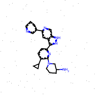 NC1CCCN(c2nc(-c3n[nH]c4cnc(-c5cccnc5)cc34)ccc2C2CC2)C1